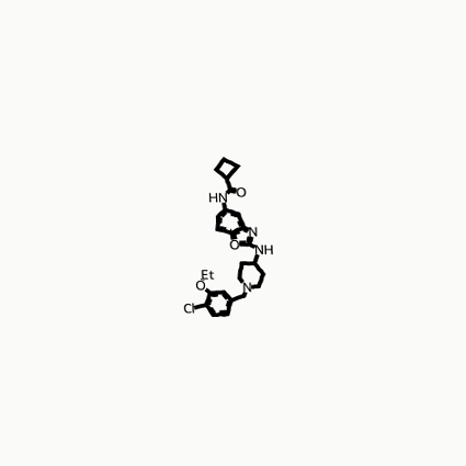 CCOc1cc(CN2CCC(Nc3nc4cc(NC(=O)C5CCC5)ccc4o3)CC2)ccc1Cl